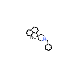 N#CC1(c2cccc3ccccc23)CCN(Cc2ccccc2)CC1